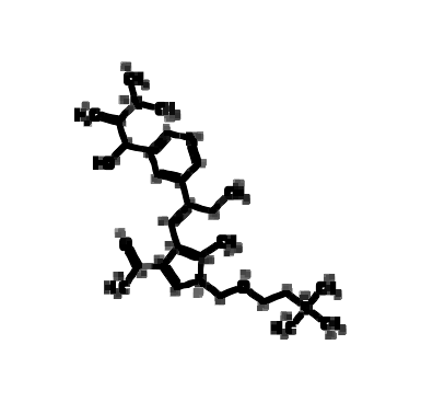 C=C(C(O)c1cncc(/C(=C/c2c(C(C)=O)cn(COCC[Si](C)(C)C)c2C)CC)c1)N(C)C